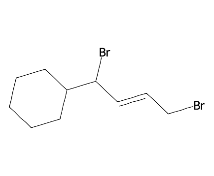 BrCC=CC(Br)C1CCCCC1